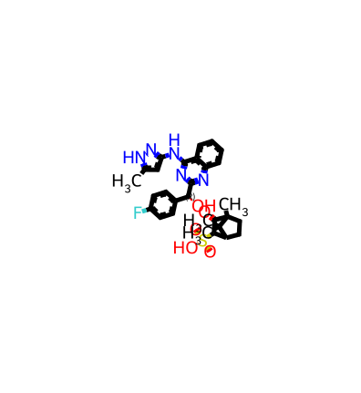 CC12CCC(C(S(=O)(=O)O)C1=O)C2(C)C.Cc1cc(Nc2nc([C@H](O)c3ccc(F)cc3)nc3ccccc23)n[nH]1